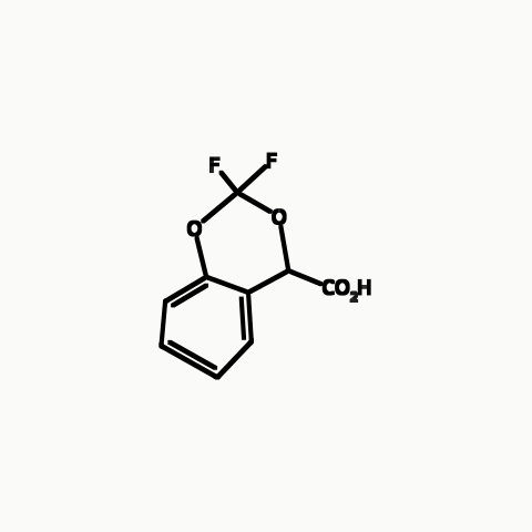 O=C(O)C1OC(F)(F)Oc2ccccc21